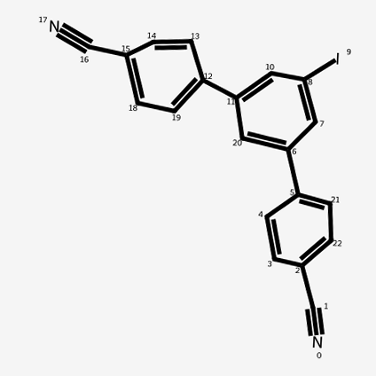 N#Cc1ccc(-c2cc(I)cc(-c3ccc(C#N)cc3)c2)cc1